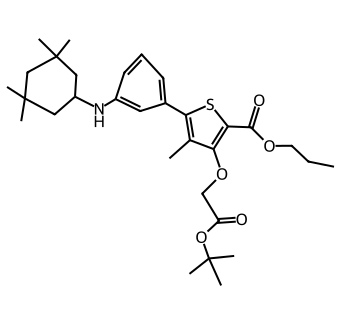 CCCOC(=O)c1sc(-c2cccc(NC3CC(C)(C)CC(C)(C)C3)c2)c(C)c1OCC(=O)OC(C)(C)C